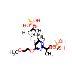 CC.CCC.COCCOc1cc(C)nc(C(C)C)n1.OP(O)(O)=S.OP(O)(O)=S